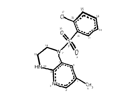 Cc1cnc2c(c1)N(S(=O)(=O)c1ccccc1Cl)CCN2